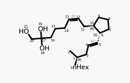 CCCCCC[C@@H](C)C/C=C/[C@H]1CCC[C@@H]1C/C=C\CCCC(O)(O)CO